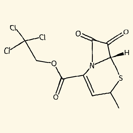 CC1C=C(C(=O)OCC(Cl)(Cl)Cl)N2C(=O)C(=O)[C@@H]2S1